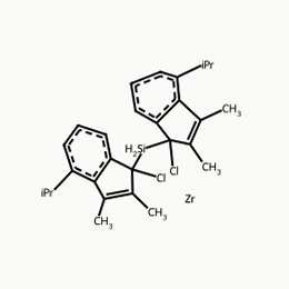 CC1=C(C)C(Cl)([SiH2]C2(Cl)C(C)=C(C)c3c(C(C)C)cccc32)c2cccc(C(C)C)c21.[Zr]